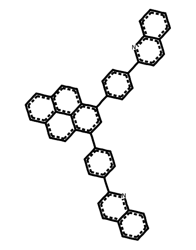 c1ccc2nc(-c3ccc(-c4cc(-c5ccc(-c6ccc7ccccc7n6)cc5)c5ccc6cccc7ccc4c5c76)cc3)ccc2c1